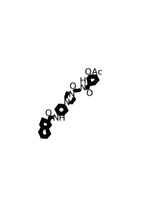 CC(=O)Oc1cccc(C(=O)NCC(=O)N2CCN(c3ccc(NC(=O)c4ccc5ccccc5c4)cc3)CC2)c1